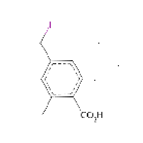 Cc1cc(CI)ccc1C(=O)O